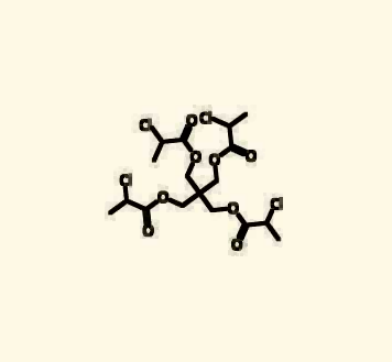 CC(Cl)C(=O)OCC(COC(=O)C(C)Cl)(COC(=O)C(C)Cl)COC(=O)C(C)Cl